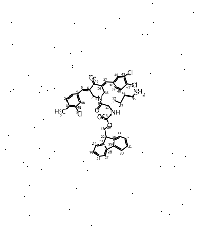 Cc1ccc(/C=C2\CN(C(=O)[C@H](CCCCN)NC(=O)OCC3c4ccccc4-c4ccccc43)C/C(=C\c3ccc(Cl)c(Cl)c3)C2=O)cc1Cl